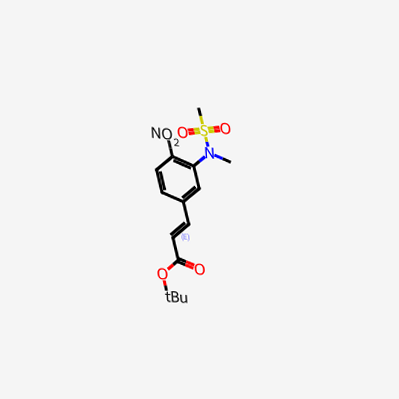 CN(c1cc(/C=C/C(=O)OC(C)(C)C)ccc1[N+](=O)[O-])S(C)(=O)=O